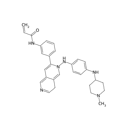 C=CC(=O)Nc1cccc(C2=CC3=CN=CCC3=CN2Nc2ccc(NC3CCN(C)CC3)cc2)c1